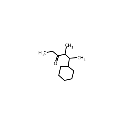 CCC(=O)C(C)C(C)C1CCCCC1